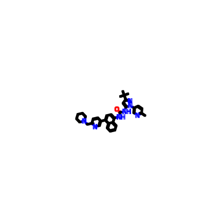 Cc1ccc(-n2nc(C(C)(C)C)cc2NC(=O)Nc2ccc(-c3ccc(CN4CCCCC4)nc3)c3ccccc23)cn1